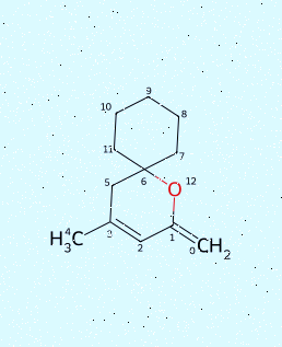 C=C1C=C(C)CC2(CCCCC2)O1